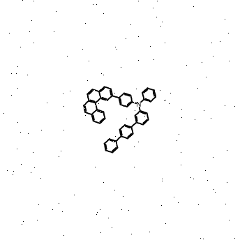 c1ccc(-c2ccc(-c3cccc(N(c4ccccc4)c4ccc(-c5ccc6ccc7ccc8ccccc8c7c6c5)cc4)c3)cc2)cc1